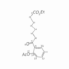 CCOC(=O)CCCCCCC(=O)c1ccccc1OC(C)=O